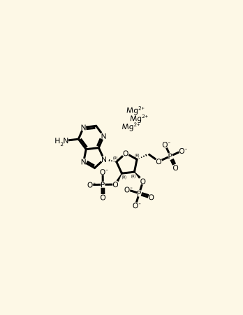 Nc1ncnc2c1ncn2[C@@H]1O[C@H](COP(=O)([O-])[O-])[C@@H](OP(=O)([O-])[O-])[C@H]1OP(=O)([O-])[O-].[Mg+2].[Mg+2].[Mg+2]